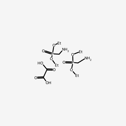 CCOP(=O)(CN)OCC.CCOP(=O)(CN)OCC.O=C(O)C(=O)O